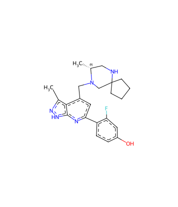 Cc1n[nH]c2nc(-c3ccc(O)cc3F)cc(CN3CC4(CCCC4)NC[C@H]3C)c12